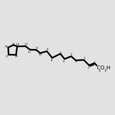 O=C(O)C=CCCCCCCCCCCCC1CCCC1